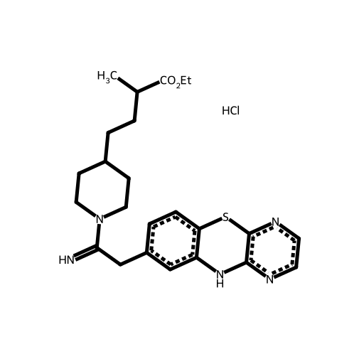 CCOC(=O)C(C)CCC1CCN(C(=N)Cc2ccc3c(c2)Nc2nccnc2S3)CC1.Cl